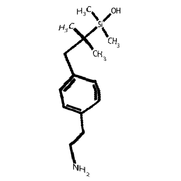 CC(C)(Cc1ccc(CCN)cc1)[Si](C)(C)O